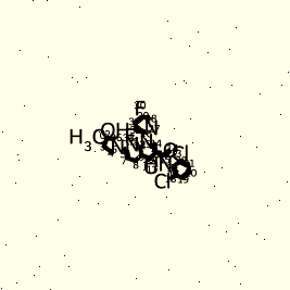 CC1(O)CCN(C2=CCC3C(=O)C(C(=O)Nc4c(Cl)cccc4Cl)=CN(c4ncc(F)cc4F)C3=N2)C1